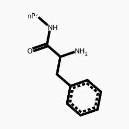 [CH2]CCNC(=O)C(N)Cc1ccccc1